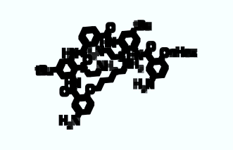 CCCCCCOc1ccc(N)cc1C(=O)Nc1cc(C(C)(C)C)cc(NC(=O)c2cccc(C(=O)Nc3cc(C(C)(C)C)cc(NC(=O)c4cc(N)ccc4OCCCCCN)c3SCCN)c2)c1SCCN